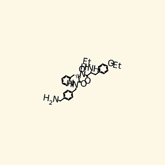 CCOc1ccc(CC(NC(=O)CC)C(=O)N[C@@H](Cc2ccccn2)C(=O)NCc2ccc(CN)cc2)cc1